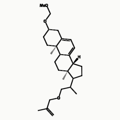 C=C(C)COCC(C)C1CC[C@H]2C3=CC=C4CC(OCOC)CC[C@]4(C)C3CC[C@]12C